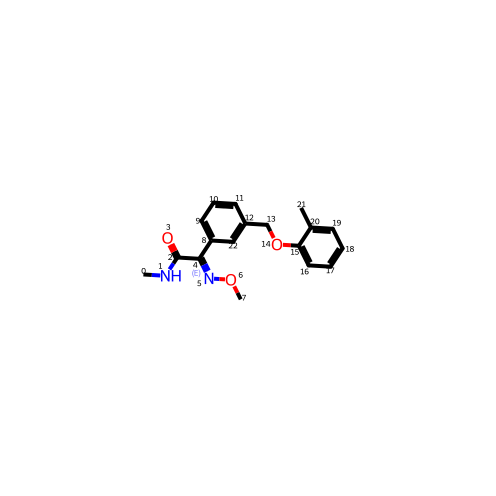 CNC(=O)/C(=N/OC)c1cccc(COc2ccccc2C)c1